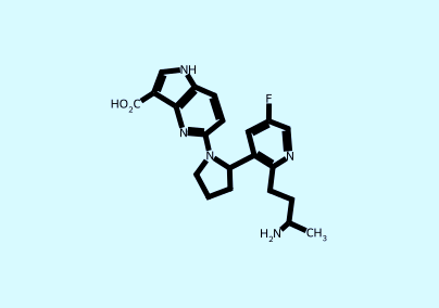 CC(N)CCc1ncc(F)cc1C1CCCN1c1ccc2[nH]cc(C(=O)O)c2n1